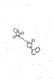 CC[C@@H]1CN(c2cccc3ccccc23)CCN1CCCCN1C(=O)C2CCCN2C1=O